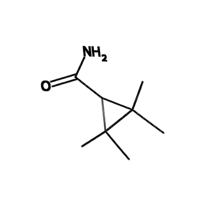 CC1(C)C(C(N)=O)C1(C)C